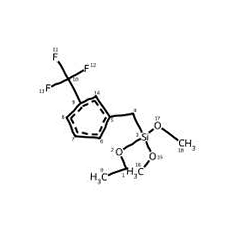 CCO[Si](Cc1cccc(C(F)(F)F)c1)(OC)OC